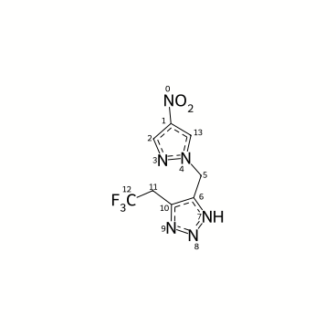 O=[N+]([O-])c1cnn(Cc2[nH]nnc2CC(F)(F)F)c1